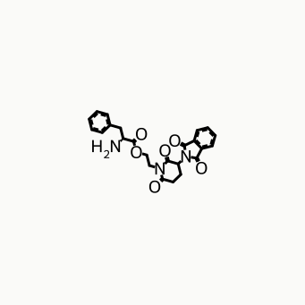 N[C@@H](Cc1ccccc1)C(=O)OCCN1C(=O)CCC(N2C(=O)c3ccccc3C2=O)C1=O